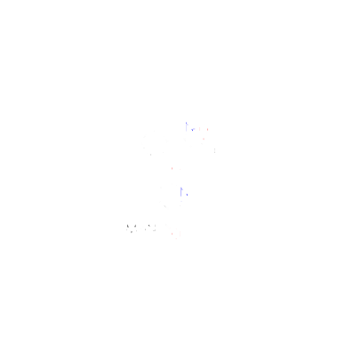 CNC(=O)c1ccc(OCc2c(-c3ccccc3)noc2C(F)(F)F)nc1